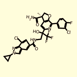 C[C@]1(C(N)=O)COc2c1cc(C(O)(CNC(=O)c1cc(Cl)c3nn(C4CC4)cc3c1)C(F)(F)F)nc2-c1ccc(F)c(Cl)c1